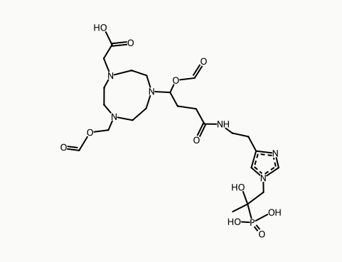 CC(O)(Cn1cnc(CCNC(=O)CCC(OC=O)N2CCN(COC=O)CCN(CC(=O)O)CC2)c1)P(=O)(O)O